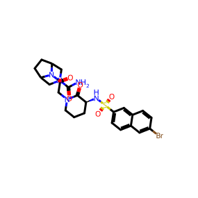 NC(=O)N1CC2CCC(C1)N2C(=O)CN1CCC[C@H](NS(=O)(=O)c2ccc3cc(Br)ccc3c2)C1=O